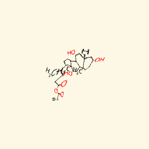 C[C@H](CCC(=O)OC(=O)C(C)(C)C)[C@H]1CCC2C3C(C[C@H](O)[C@@]21C)[C@@]1(C)CC[C@@H](O)C[C@H]1C[C@H]3O